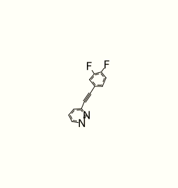 Fc1ccc(C#Cc2cccnn2)cc1F